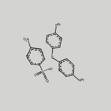 CCCc1ccc([I+]c2ccc(CCC)cc2)cc1.O=[N+]([O-])c1ccc(S(=O)(=O)[O-])cc1